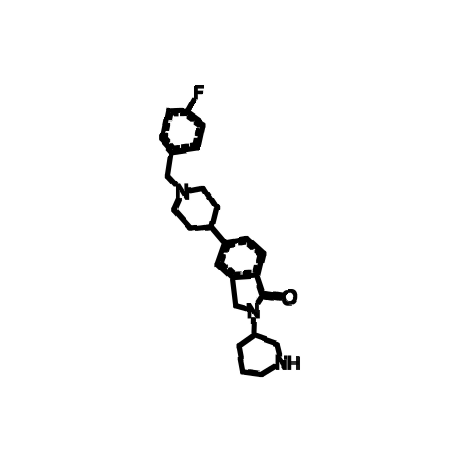 O=C1c2ccc(C3CCN(Cc4ccc(F)cc4)CC3)cc2CN1C1CCCNC1